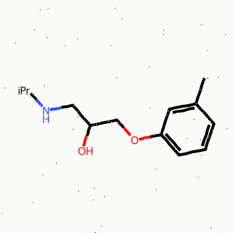 [CH2]c1cccc(OCC(O)CNC(C)C)c1